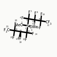 C[O][Sn]([O]C)([C](F)(F)C(F)(F)C(F)(F)C(F)(F)F)[C](F)(F)C(F)(F)C(F)(F)C(F)(F)F